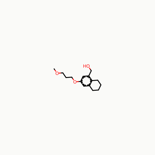 COCCCOc1cc(CO)c2c(c1)CCCC2